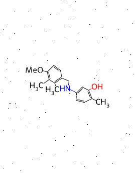 COc1ccc(CNc2ccc(C)c(O)c2)c(C)c1C